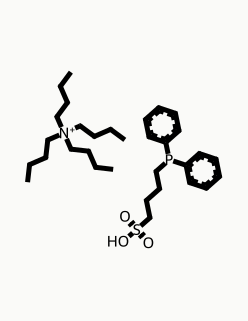 CCCC[N+](CCCC)(CCCC)CCCC.O=S(=O)(O)CCCCP(c1ccccc1)c1ccccc1